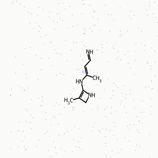 CC1=C(N/C(C)=C/C=N)NC1